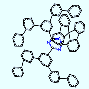 c1ccc(-c2cccc(-c3cc(-c4cccc(-c5ccccc5)c4)cc(-c4nc(-c5cc(-c6cccc(-c7ccccc7)c6)cc(-c6cccc(-c7ccccc7)c6)c5)nc(-c5cccc6c5C5(c7ccccc7-c7ccccc75)c5ccccc5-6)n4)c3)c2)cc1